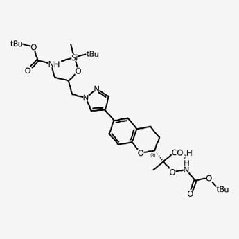 CC(C)(C)OC(=O)NCC(Cn1cc(-c2ccc3c(c2)CC[C@H](C(C)(ONC(=O)OC(C)(C)C)C(=O)O)O3)cn1)O[Si](C)(C)C(C)(C)C